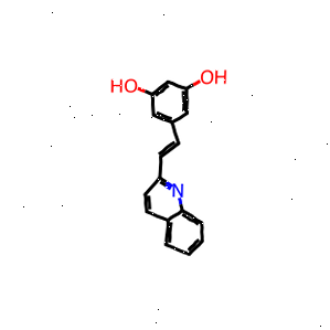 Oc1cc(O)cc(C=Cc2ccc3ccccc3n2)c1